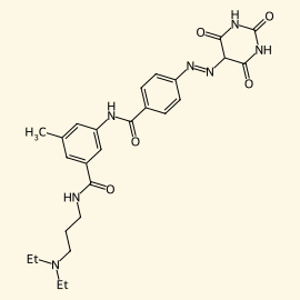 CCN(CC)CCCNC(=O)c1cc(C)cc(NC(=O)c2ccc(N=NC3C(=O)NC(=O)NC3=O)cc2)c1